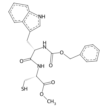 COC(=O)[C@H](CS)NC(=O)[C@H](Cc1c[nH]c2ccccc12)NC(=O)OCc1ccccc1